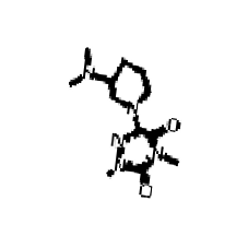 CN(C)C1CCCN(c2nn(C)c(=O)n(C)c2=O)C1